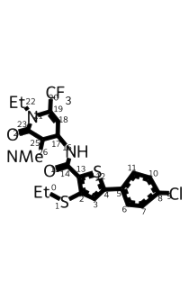 CCSc1cc(-c2ccc(Cl)cc2)sc1C(=O)NC1C=C(C(F)(F)F)N(CC)C(=O)C1NC